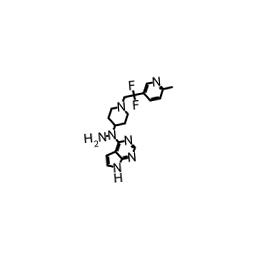 Cc1ccc(C(F)(F)CN2CCC(N(N)c3ncnc4[nH]ccc34)CC2)cn1